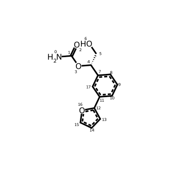 NC(=O)O[C@H](CO)c1cccc(-c2ccco2)c1